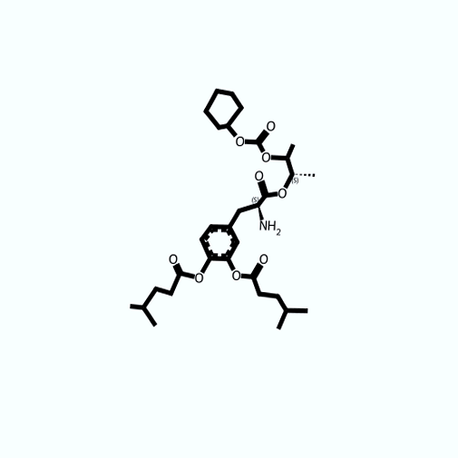 CC(C)CCC(=O)Oc1ccc(C[C@H](N)C(=O)O[C@@H](C)C(C)OC(=O)OC2CCCCC2)cc1OC(=O)CCC(C)C